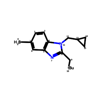 Bc1ccc2c(c1)nc(CC(C)(C)C)n2CC1CC1